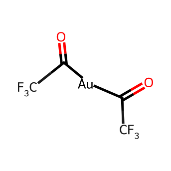 O=[C]([Au][C](=O)C(F)(F)F)C(F)(F)F